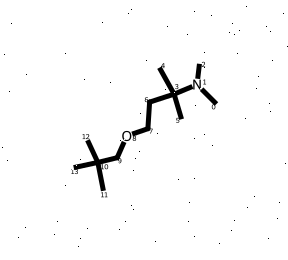 CN(C)C(C)(C)CCOCC(C)(C)C